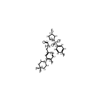 O=C(NCc1cc(N2CCC(F)(F)CC2)c(F)cn1)[C@@H]1C[C@@H](F)CN1S(=O)(=O)c1ccc(F)cc1